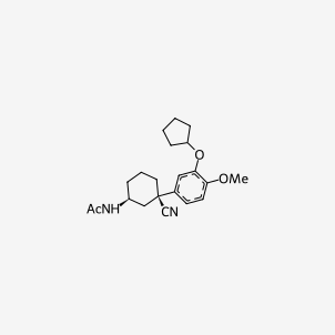 COc1ccc([C@@]2(C#N)CCC[C@H](NC(C)=O)C2)cc1OC1CCCC1